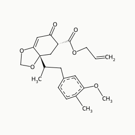 C=CCOC(=O)[C@@H]1C[C@]2(C(C)Cc3ccc(C)c(OC)c3)OCOC2=CC1=O